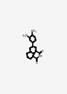 O=C1NC(=O)c2cc(-c3ccc([N+](=O)[O-])c([N+](=O)[O-])c3)cc3cccc1c23